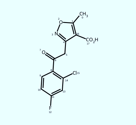 Cc1onc(CC(=O)c2ccc(F)cc2Cl)c1C(=O)O